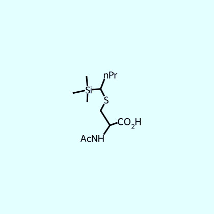 CCCC(SCC(NC(C)=O)C(=O)O)[Si](C)(C)C